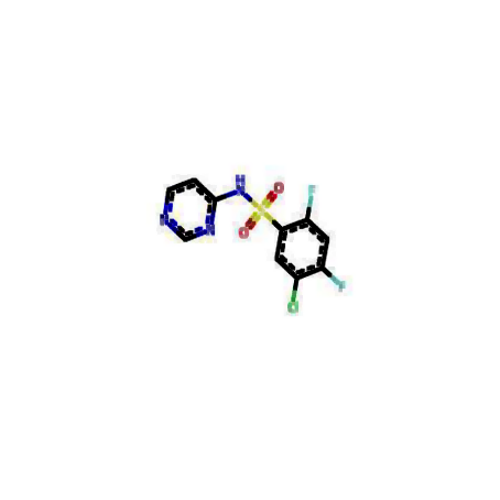 O=S(=O)(Nc1ccncn1)c1cc(Cl)c(F)cc1F